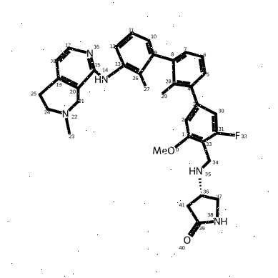 COc1cc(-c2cccc(-c3cccc(Nc4nccc5c4CN(C)CC5)c3C)c2C)cc(F)c1CN[C@@H]1CNC(=O)C1